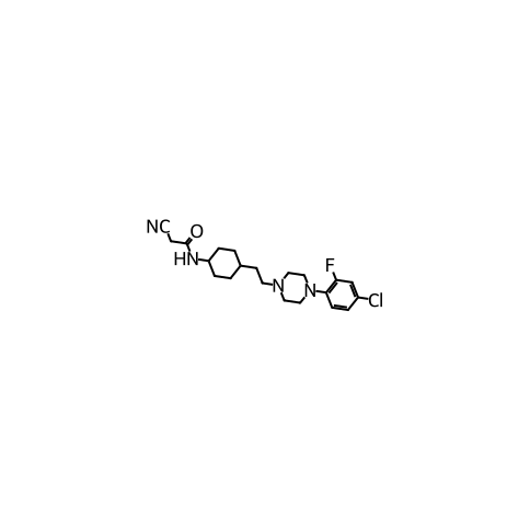 N#CCC(=O)NC1CCC(CCN2CCN(c3ccc(Cl)cc3F)CC2)CC1